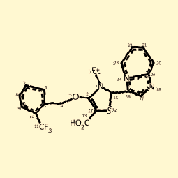 CCN1C(OCc2ccccc2C(F)(F)F)=C(C(=O)O)SC1c1cnc2ccccn12